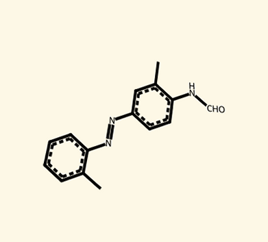 Cc1ccccc1/N=N/c1ccc(NC=O)c(C)c1